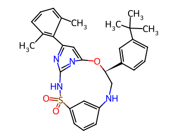 Cc1cccc(C)c1-c1cc2nc(n1)NS(=O)(=O)c1cccc(c1)NC[C@H](c1cccc(C(C)(C)C)c1)O2